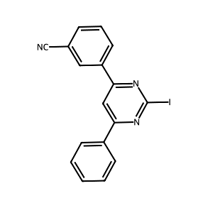 N#Cc1cccc(-c2cc(-c3ccccc3)nc(I)n2)c1